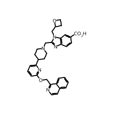 O=C(O)c1ccc2nc(CN3CCC(c4cccc(OCc5nccc6ccccc56)n4)CC3)n(CC3CCO3)c2c1